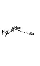 CCCC/C=C/C=C/CCCCCCCCC1(CCCCCCCCC)CN(CCCN(C)C)C1